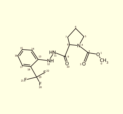 COC(=O)N1CCCC1C(=O)NNc1ccccc1C(F)(F)F